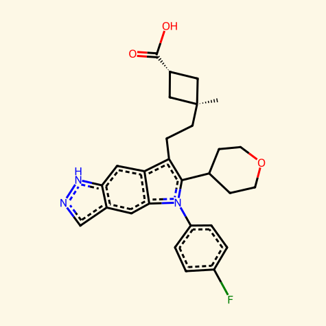 C[C@]1(CCc2c(C3CCOCC3)n(-c3ccc(F)cc3)c3cc4cn[nH]c4cc23)C[C@H](C(=O)O)C1